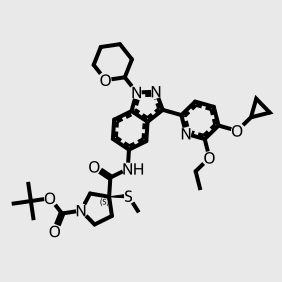 CCOc1nc(-c2nn(C3CCCCO3)c3ccc(NC(=O)[C@]4(SC)CCN(C(=O)OC(C)(C)C)C4)cc23)ccc1OC1CC1